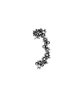 CC(C)n1nc(-c2noc(C3CC3)c2-c2ncc(C3CCN(C(=O)OCC(=O)N4CCC(CN5CC[C@H](c6ccc7c(N8CCC(=O)NC8=O)nn(C)c7c6)C(F)(F)C5)CC4)CC3)cn2)c2c(N)ncnc21